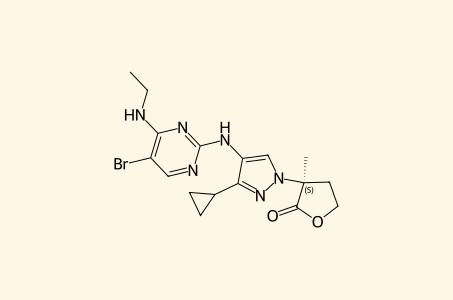 CCNc1nc(Nc2cn([C@@]3(C)CCOC3=O)nc2C2CC2)ncc1Br